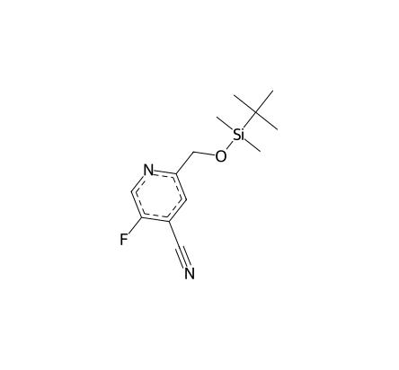 CC(C)(C)[Si](C)(C)OCc1cc(C#N)c(F)cn1